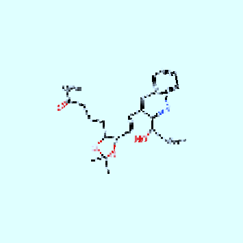 CCCCCC(O)c1nc2ccccc2cc1/C=C/[C@H]1OC(C)(C)O[C@H]1CCCC(=O)OC